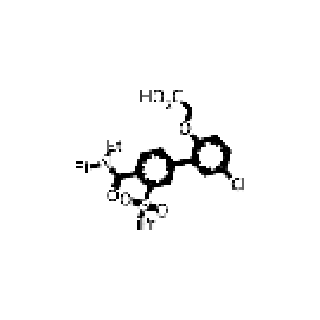 CCN(CC)C(=O)c1ccc(-c2cc(Cl)ccc2OCC(=O)O)cc1S(=O)(=O)C(C)C